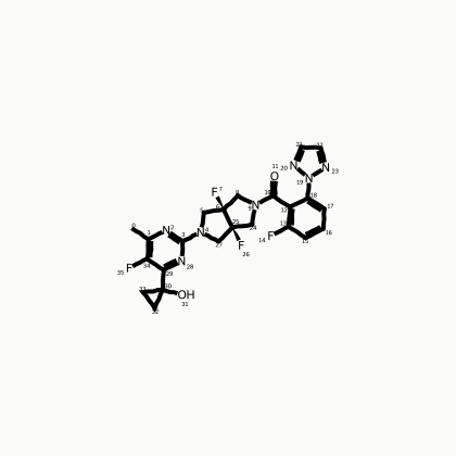 Cc1nc(N2C[C@]3(F)CN(C(=O)c4c(F)cccc4-n4nccn4)C[C@]3(F)C2)nc(C2(O)CC2)c1F